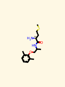 CSCC[C@H](N)C(=O)NC(C)COc1c(C)cccc1C